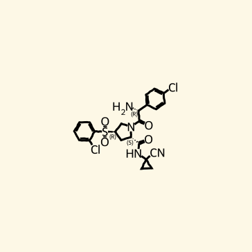 N#CC1(NC(=O)[C@@H]2C[C@@H](S(=O)(=O)c3ccccc3Cl)CN2C(=O)[C@H](N)c2ccc(Cl)cc2)CC1